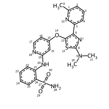 Cc1cccc(-c2nc(N(C)C)sc2Oc2ccnc(Nc3ccccc3S(N)(=O)=O)c2)n1